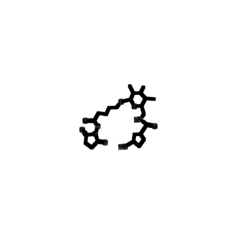 CC1C(CNC(=O)C2CCC(O)C2)OC(OCCCCC(=O)ON2C(=O)CCC2=O)C(C)C1C